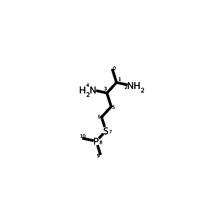 CC(N)C(N)CCSP(C)C